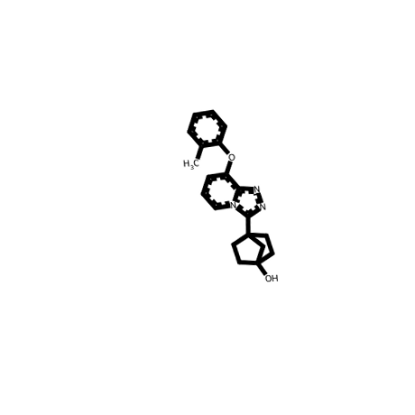 Cc1ccccc1Oc1cccn2c(C34CCC(O)(CC3)C4)nnc12